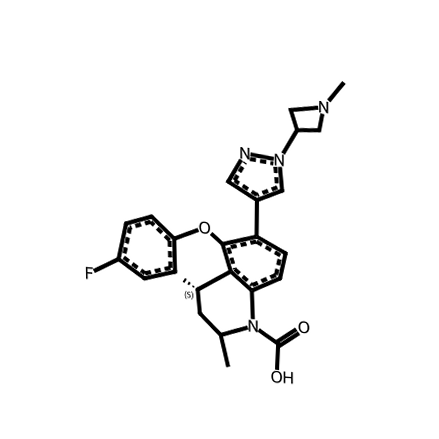 CC1C[C@H](C)c2c(ccc(-c3cnn(C4CN(C)C4)c3)c2Oc2ccc(F)cc2)N1C(=O)O